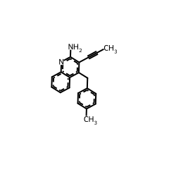 CC#Cc1c(N)nc2ccccc2c1Cc1ccc(C)cc1